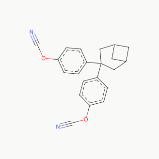 N#COc1ccc(C2(c3ccc(OC#N)cc3)CC3CC(C3)C2)cc1